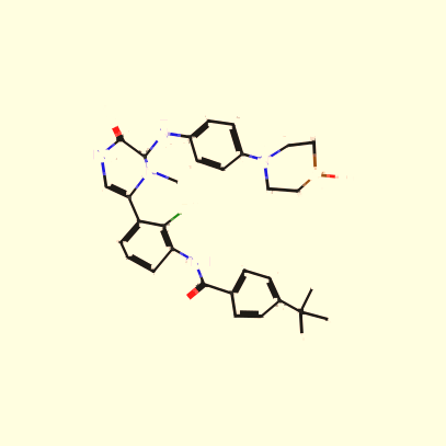 CN1C(c2cccc(NC(=O)c3ccc(C(C)(C)C)cc3)c2F)=CNC(=O)C1Nc1ccc(N2CC[S+]([O-])CC2)cc1